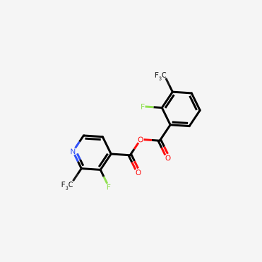 O=C(OC(=O)c1ccnc(C(F)(F)F)c1F)c1cccc(C(F)(F)F)c1F